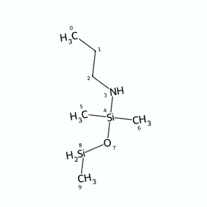 CCCN[Si](C)(C)O[SiH2]C